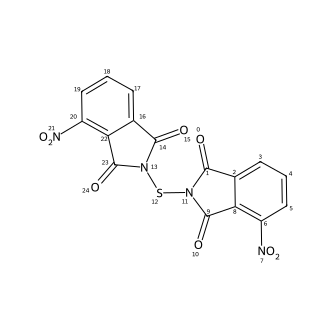 O=C1c2cccc([N+](=O)[O-])c2C(=O)N1SN1C(=O)c2cccc([N+](=O)[O-])c2C1=O